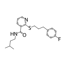 CC(C)CCNC(=O)c1cccnc1SCCCc1ccc(F)cc1